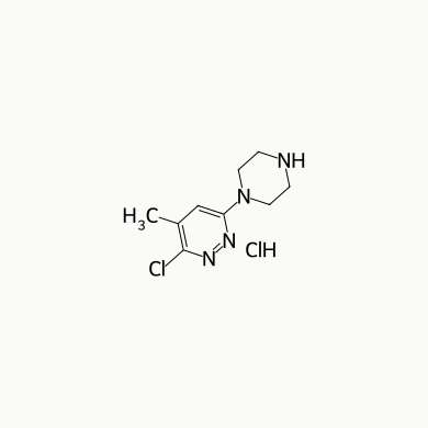 Cc1cc(N2CCNCC2)nnc1Cl.Cl